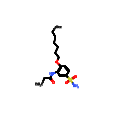 CCCCCCCCCCCCCCCCOc1ccc(S(N)(=O)=O)cc1NC(=O)CC(=O)OCC